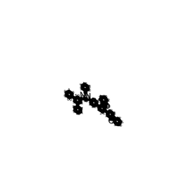 c1ccc(-c2cc(-c3ccccc3)cc(-c3cc(-c4ccc(-c5ccc(-c6ccc7c(c6)oc6ccccc67)c6oc7ccccc7c56)cc4)nc(-c4ccccc4)n3)c2)cc1